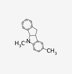 Cc1ccc2c(c1)C1Cc3ccccc3C1N2C